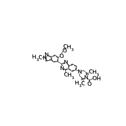 COCOc1cc2nn(C)cc2cc1-c1nc(C)c2cc(N3C[C@@H](C)N(C(=O)O)[C@@H](C)C3)ccc2n1